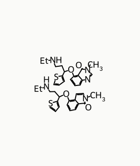 CCNCCC(Oc1cccc2c(=O)n(C)ccc12)c1cccs1.CCNCCC(Oc1cccc2ncn(C)c(=O)c12)c1cccs1